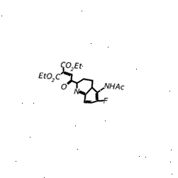 CCOC(=O)C(=CC(=O)C1CCC2C(=N1)C=CC(F)=C2NC(C)=O)C(=O)OCC